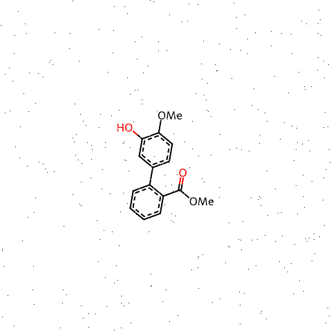 COC(=O)c1ccccc1-c1ccc(OC)c(O)c1